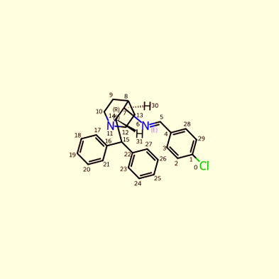 Clc1ccc(/C=N/[C@@H]2C3CCN(CC3)[C@H]2C(c2ccccc2)c2ccccc2)cc1